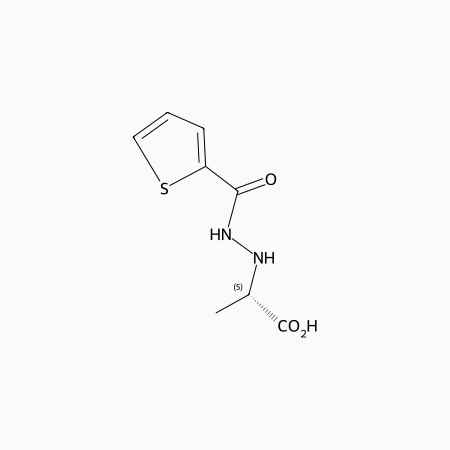 C[C@H](NNC(=O)c1cccs1)C(=O)O